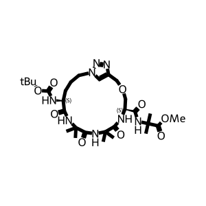 COC(=O)C(C)(C)NC(=O)[C@@H]1COCc2cn(nn2)CCC[C@H](NC(=O)OC(C)(C)C)C(=O)NC(C)(C)C(=O)NC(C)(C)C(=O)N1